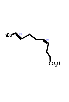 CCCC/C=C/CC/C=C\CCC(=O)O